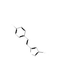 O=[N+]([O-])c1ccc(/C=C/c2cc([N+](=O)[O-])co2)cc1